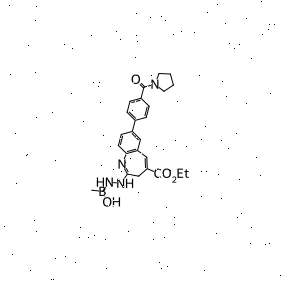 CCOC(=O)C1=Cc2cc(-c3ccc(C(=O)N4CCCC4)cc3)ccc2N=C(NNB(C)O)C1